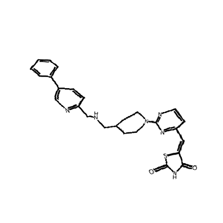 O=C1NC(=O)C(=Cc2ccnc(N3CCC(CNCc4ccc(-c5ccccc5)cn4)CC3)n2)S1